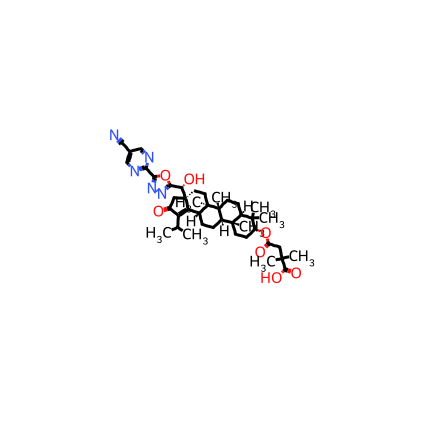 CC(C)C1=C2[C@H]3CC[C@@H]4[C@@]5(C)CC[C@H](OC(=O)CC(C)(C)C(=O)O)C(C)(C)[C@@H]5CC[C@@]4(C)[C@]3(C)CC[C@@]2([C@@H](O)c2nnc(-c3ncc(C#N)cn3)o2)CC1=O